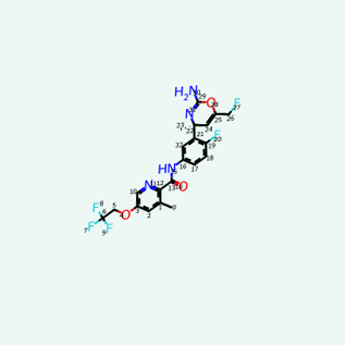 Cc1cc(OCC(F)(F)F)cnc1C(=O)Nc1ccc(F)c([C@]2(C)C=C(CF)OC(N)=N2)c1